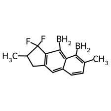 Bc1c(C)ccc2cc3c(c(B)c12)C(F)(F)C(C)C3